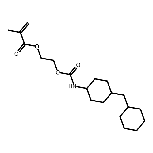 C=C(C)C(=O)OCCOC(=O)NC1CCC(CC2CCCCC2)CC1